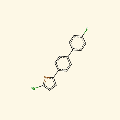 Fc1ccc(-c2ccc(-c3ccc(Br)s3)cc2)cc1